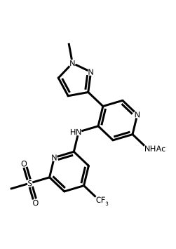 CC(=O)Nc1cc(Nc2cc(C(F)(F)F)cc(S(C)(=O)=O)n2)c(-c2ccn(C)n2)cn1